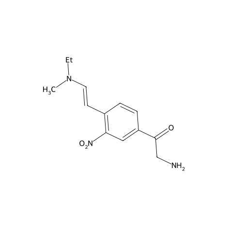 CCN(C)/C=C/c1ccc(C(=O)CN)cc1[N+](=O)[O-]